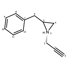 C#CC[N@@]1CC1Cc1ccccc1